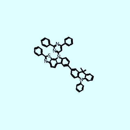 CC1(C)c2ccccc2N(c2ccccc2)c2ccc(-c3ccc4c(c3)c3ccc5nc(-c6ccccc6)sc5c3n4-c3cc(-c4ccccc4)nc(-c4ccccc4)n3)cc21